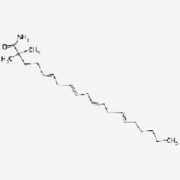 CCCCCC=CCC=CCC=CCC=CCCC(C)(C)C(N)=O